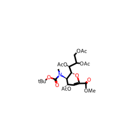 COC(=O)C1=C[C@H](OC(C)=O)[C@@H](N(C)C(=O)OC(C)(C)C)[C@H]([C@H](OC(C)=O)C(COC(C)=O)OC(C)=O)O1